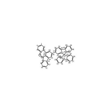 c1ccc2c(c1)On1c3ccccc3c3cc(-c4ccc5c(c4)C4(c6ccccc6-c6ccccc64)c4ccccc4-5)cc-2c31